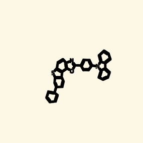 c1ccc(-c2ccc3c(c2)sc2ccc4nc(-c5ccc(-n6c7ccccc7c7ccccc76)cc5)oc4c23)cc1